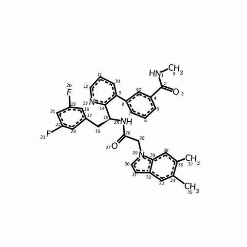 CNC(=O)c1cccc(-c2cccnc2[C@H](Cc2cc(F)cc(F)c2)NC(=O)Cn2ccc3cc(C)c(C)cc32)c1